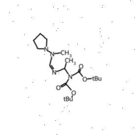 CC(/N=C\N(C)N1CCCC1)N(C(=O)OC(C)(C)C)C(=O)OC(C)(C)C